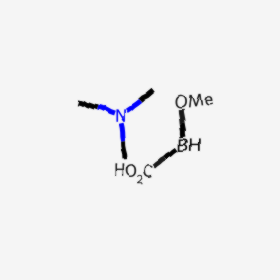 CN(C)C.COBC(=O)O